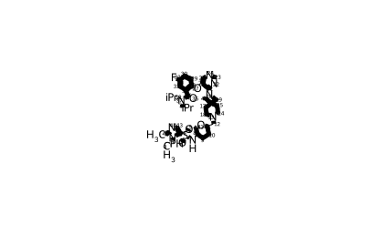 CPn1c(S(=O)(=O)N[C@@H]2CC[C@@H](CN3CCC4(CC3)CN(c3ncncc3Oc3ccc(F)cc3C(=O)N(C(C)C)C(C)C)C4)OC2)cnc1C